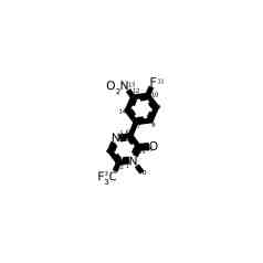 Cn1c(C(F)(F)F)cnc(-c2ccc(F)c([N+](=O)[O-])c2)c1=O